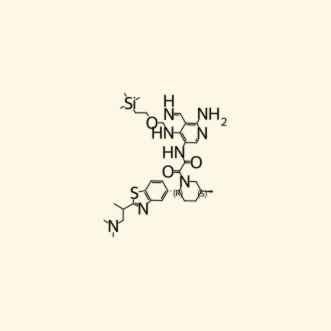 CC(CN(C)C)c1nc2cc([C@H]3CC[C@H](C)CN3C(=O)C(=O)Nc3cnc(N)c(C=N)c3NCOCC[Si](C)(C)C)ccc2s1